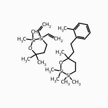 C=C[Si]1(C=C)CCC(C)(C)O[Si]1(C)C.Cc1ccccc1CCC1(C)CC[Si](C)(C)[Si](C)(C)O1